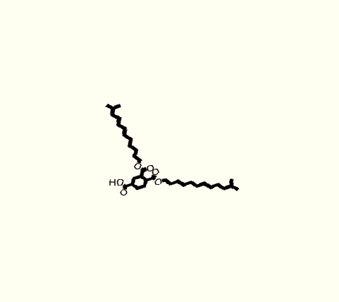 CC(C)CCCCCCCCCCOC(=O)C1CCC(C(=O)O)CC1C(=O)OCCCCCCCCCCC(C)C